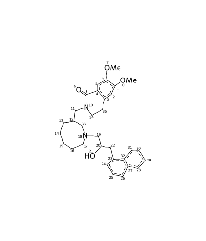 COc1cc2c(cc1OC)C(=O)N(CC1CCCCCN(CC(O)Cc3cccc4ccccc34)C1)CC2